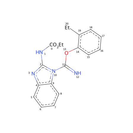 CCOC(=O)Nc1nc2ccccc2n1C(=N)Oc1ccccc1CC